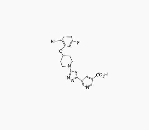 O=C(O)c1cncc(-c2nnc(N3CCC(Oc4cc(F)ccc4Br)CC3)s2)c1